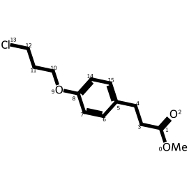 COC(=O)CCc1ccc(OCCCCl)cc1